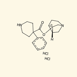 Cl.Cl.O=C(O[C@H]1CN2CCC1CC2)C1(c2ccccc2)CCNCC1